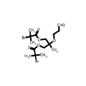 CC(COC(=O)C(C)(C)Br)(COC(=O)C(C)(C)Br)OCCC=O